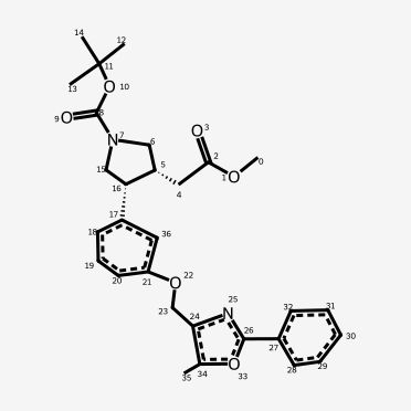 COC(=O)C[C@H]1CN(C(=O)OC(C)(C)C)C[C@H]1c1cccc(OCc2nc(-c3ccccc3)oc2C)c1